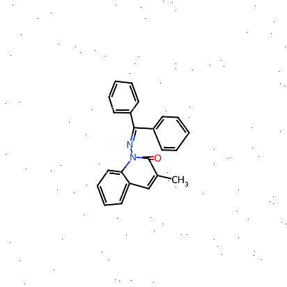 Cc1cc2ccccc2n(N=C(c2ccccc2)c2ccccc2)c1=O